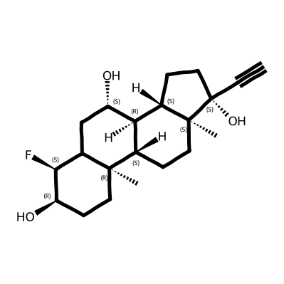 C#C[C@]1(O)CC[C@H]2[C@@H]3[C@@H](O)CC4[C@H](F)[C@H](O)CC[C@]4(C)[C@H]3CC[C@@]21C